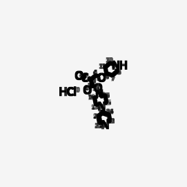 Cl.O=C=C(COC1CCNCC1)C(=O)ON1CCN(c2ccncc2)CC1